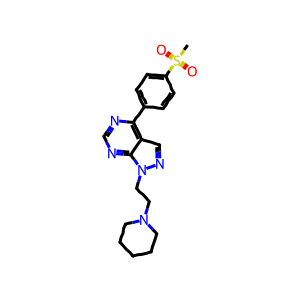 CS(=O)(=O)c1ccc(-c2ncnc3c2cnn3CCN2CCCCC2)cc1